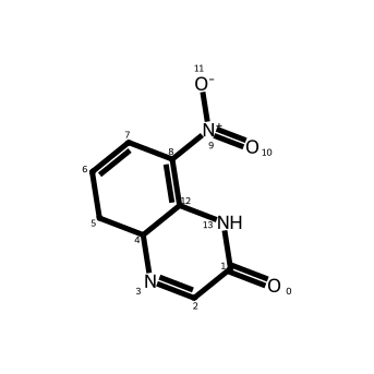 O=C1C=NC2CC=CC([N+](=O)[O-])=C2N1